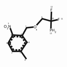 Cc1ccc([N+](=O)[O-])c(COCC(F)(F)P)c1